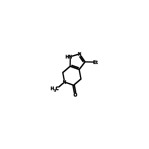 CCc1n[nH]c2c1CC(=O)N(C)C2